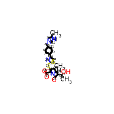 CC1=CN(Cc2ccc(-c3csc(SC4=C(C(=O)[O-])N5C(=O)[C@@H](C(C)O)[C@@H]5[C@H]4C)n3)cc2)[C+]=N1